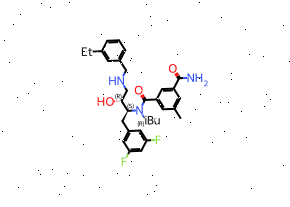 CCc1cccc(CNC[C@@H](O)[C@H](Cc2cc(F)cc(F)c2)N(C(=O)c2cc(C)cc(C(N)=O)c2)[C@H](C)CC)c1